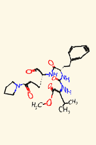 COC(=O)[C@@H](NC(=O)N[C@@H](CCc1ccccc1)C(=O)N[C@@H](C=O)CCC(=O)N1CCCC1)C(C)C